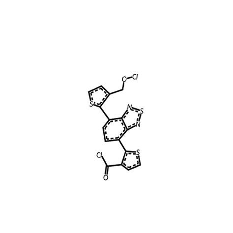 O=C(Cl)c1ccsc1-c1ccc(-c2sccc2COCl)c2nsnc12